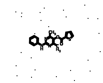 Cc1nc(Nc2ccccc2)nc(C)c1OC(=O)c1cccs1